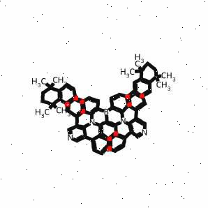 CC1(C)CCC(C)(C)c2cc(-c3ccc4c(c3)N(c3c(-c5ccccc5)cncc3-c3ccccc3)c3cc(Cl)cc5c3B4c3ccc(-c4ccc6c(c4)C(C)(C)CCC6(C)C)cc3N5c3c(-c4ccccc4)cncc3-c3ccccc3)ccc21